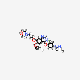 CNc1ccc(Oc2ncnc3cc(OCCCN4CCOCC4)c(OC)cc23)c(F)c1